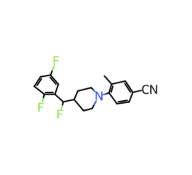 Cc1cc(C#N)ccc1N1CCC(C(F)c2cc(F)ccc2F)CC1